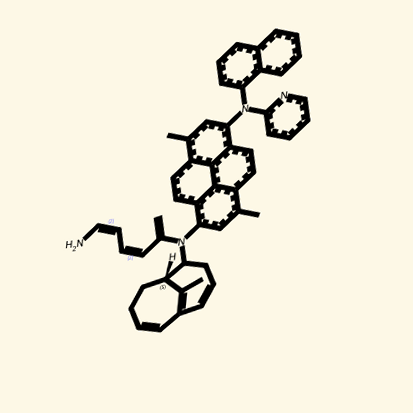 C=C(/C=C\C=C/N)N(c1cc(C)c2ccc3c(N(c4ccccn4)c4cccc5ccccc45)cc(C)c4ccc1c2c43)C1CC=CC2=C(C)[C@@H]1CCC=C2